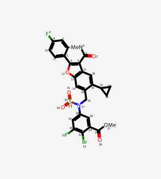 CNC(=O)c1c(-c2ccc(F)cc2)oc2cc(CN(c3cc(F)c(Br)c(C(=O)OC)c3)[SH](=O)=O)c(C3CC3)cc12